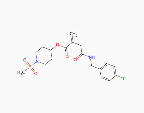 C=C(CC(=O)NCc1ccc(Cl)cc1)C(=O)OC1CCN(S(C)(=O)=O)CC1